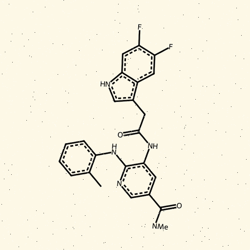 CNC(=O)c1cnc(Nc2ccccc2C)c(NC(=O)Cc2c[nH]c3cc(F)c(F)cc23)c1